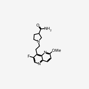 COc1ccc2ncc(F)c(CCN3CCC(C(N)=O)C3)c2n1